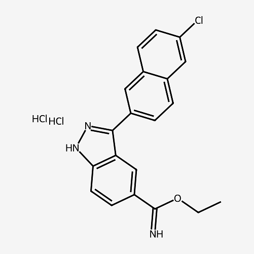 CCOC(=N)c1ccc2[nH]nc(-c3ccc4cc(Cl)ccc4c3)c2c1.Cl.Cl